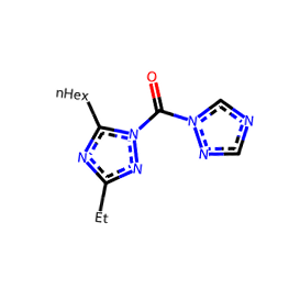 CCCCCCc1nc(CC)nn1C(=O)n1cncn1